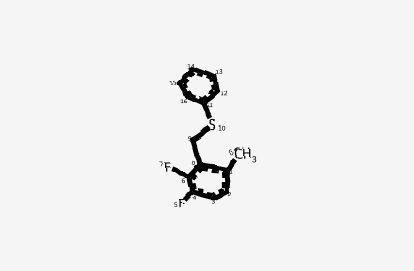 Cc1ccc(F)c(F)c1CSc1ccccc1